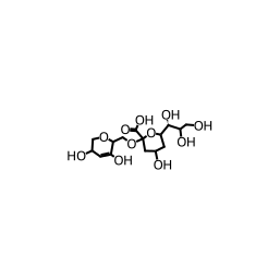 O=C(O)C1(OCC2OCC(O)C=C2O)CC(O)CC([C@H](O)C(O)CO)O1